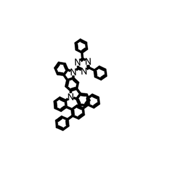 c1ccc(-c2ccc(-c3ccccc3)c(-c3ccccc3-n3c4ccccc4c4cc5c(cc43)c3ccccc3n5-c3nc(-c4ccccc4)nc(-c4ccccc4)n3)c2)cc1